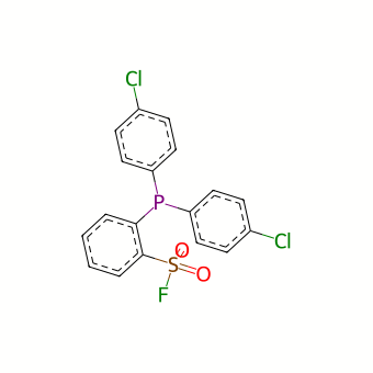 O=S(=O)(F)c1ccccc1P(c1ccc(Cl)cc1)c1ccc(Cl)cc1